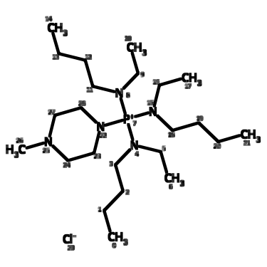 CCCCN(CC)[P+](N(CC)CCCC)(N(CC)CCCC)N1CCN(C)CC1.[Cl-]